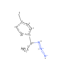 Cc1ccc(C(N=[N+]=[N-])C(=O)O)cc1